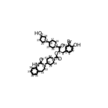 O=C(O[C@H](Cc1ccc(O)c(Br)c1)C(=O)N1CCC(N2CC[C@@H](O)C2)CC1)N1CCC(N2CCc3ccccc3NC2=O)CC1